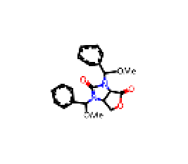 COC(c1ccccc1)N1C(=O)N(C(OC)c2ccccc2)C2C(=O)OCC21